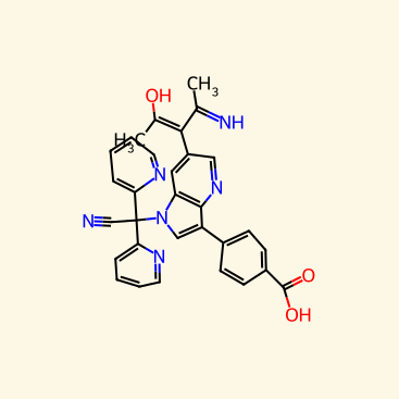 CC(=N)/C(=C(/C)O)c1cnc2c(-c3ccc(C(=O)O)cc3)cn(C(C#N)(c3ccccn3)c3ccccn3)c2c1